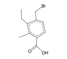 CCc1c(CBr)ccc(C(=O)O)c1C